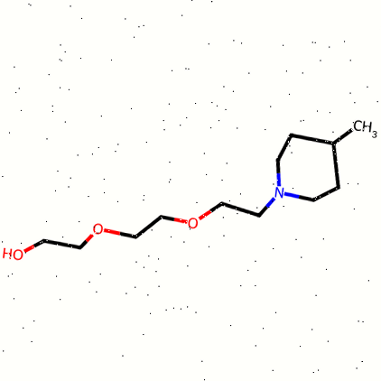 CC1CCN(CCOCCOCCO)CC1